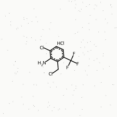 Cl.Nc1c(Cl)ccc(C(F)(F)F)c1CCl